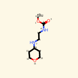 CC(C)(C)OC(=O)NCCNC1CCOCC1